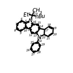 CCCCC(C)(CC)n1c2ccccc2c2cc3c(cc21)C1C=CC=CC1N3c1ccccc1